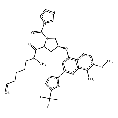 C=CCCCCN(C)C(=O)C1C[C@H](Oc2cc(-c3nc(C(F)(F)F)cs3)nc3c(C)c(OC)ccc23)CN1C(=O)n1ccnc1